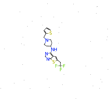 FC(F)(F)Cc1cc2c(NC3CCN(Cc4cccs4)CC3)ncnc2s1